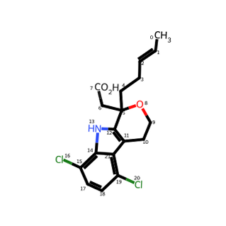 C/C=C/CCC1(CC(=O)O)OCCc2c1[nH]c1c(Cl)ccc(Cl)c21